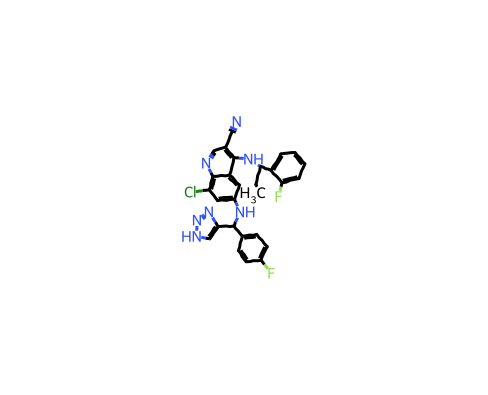 CCC(Nc1c(C#N)cnc2c(Cl)cc(NC(c3ccc(F)cc3)c3c[nH]nn3)cc12)c1ccccc1F